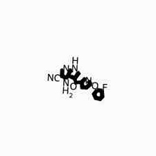 N#Cc1cnc2[nH]cc(C(=O)c3ccc(Oc4ccccc4F)nc3)c2c1N